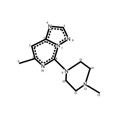 Cc1cc2ncnn2c(N2CCN(C)CC2)n1